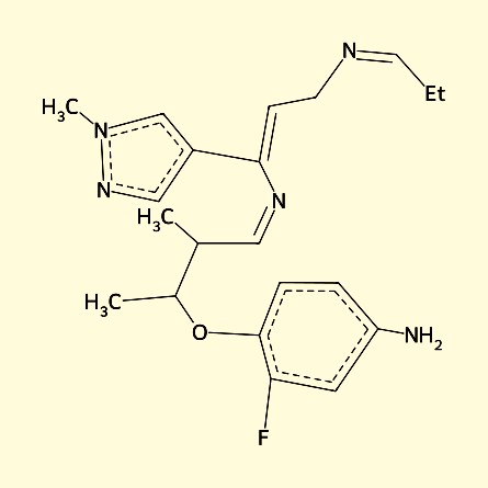 CC/C=N\C/C=C(\N=C/C(C)C(C)Oc1ccc(N)cc1F)c1cnn(C)c1